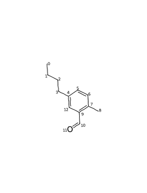 CCCCc1ccc(C)c(C=O)c1